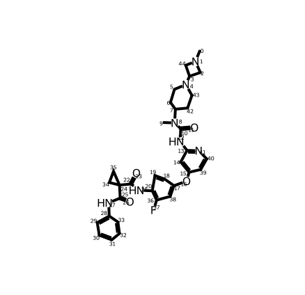 CN1CC(N2CCC(N(C)C(=O)Nc3cc(Oc4ccc(NC(=O)C5(C(=O)Nc6ccccc6)CC5)c(F)c4)ccn3)CC2)C1